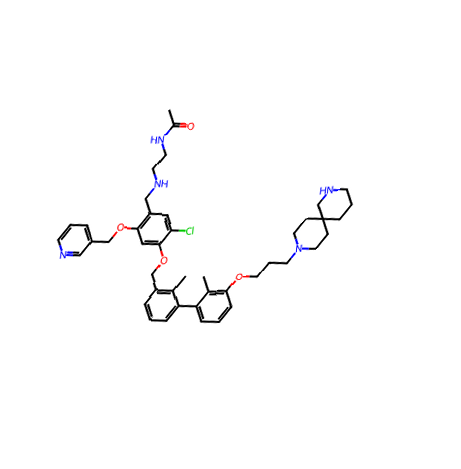 CC(=O)NCCNCc1cc(Cl)c(OCc2cccc(-c3cccc(OCCCN4CCC5(CCCNC5)CC4)c3C)c2C)cc1OCc1cccnc1